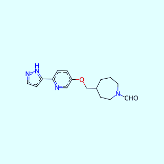 O=CN1CCCC(COc2ccc(-c3ccn[nH]3)nc2)CC1